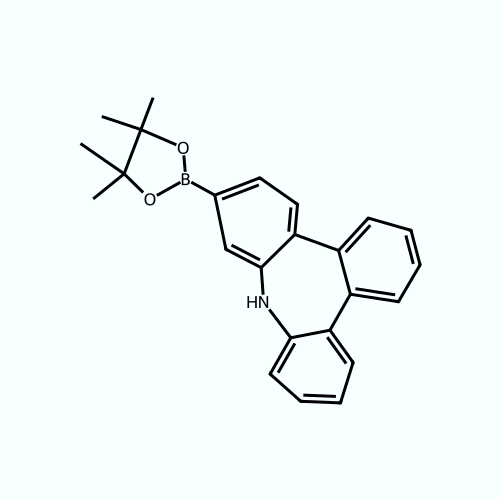 CC1(C)OB(c2ccc3c(c2)Nc2ccccc2-c2ccccc2-3)OC1(C)C